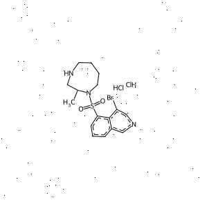 CC1CNCCCCN1S(=O)(=O)c1cccc2cncc(Br)c12.Cl.Cl